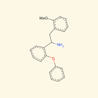 COc1c[c]ccc1CC(N)c1ccccc1Oc1ccccc1